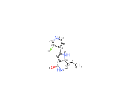 CC[C@H]1CNC(=O)c2cc(-c3ccncc3F)[nH]c21